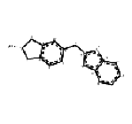 C[C@H]1Cc2ccc(Cn3cc4ccccc4n3)cc2C1